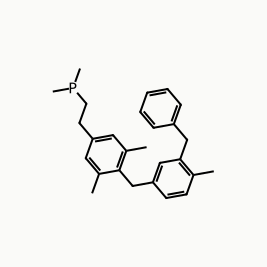 Cc1ccc(Cc2c(C)cc(CCP(C)C)cc2C)cc1Cc1ccccc1